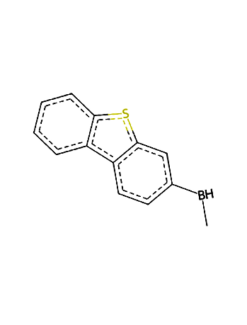 CBc1ccc2c(c1)sc1ccccc12